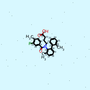 Cc1ccc(C(=O)N(CCCC(=O)O)c2c(C)cccc2-c2ccccc2C)cc1F